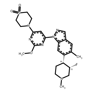 COc1nc(N2CCS(=O)(=O)CC2)cc(-n2ncc3cc(C)c([C@H]4CCN(C)C[C@H]4F)cc32)n1